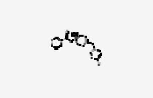 O=C(CC1(O)CCN(Cc2ccc(F)cc2)CC1)c1ccccc1